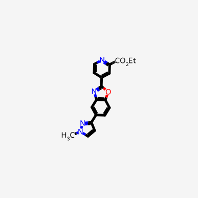 CCOC(=O)c1cc(-c2nc3cc(-c4ccn(C)n4)ccc3o2)ccn1